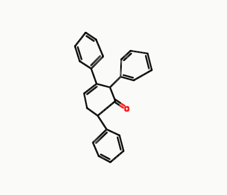 O=C1C(c2ccccc2)CC=C(c2ccccc2)C1c1ccccc1